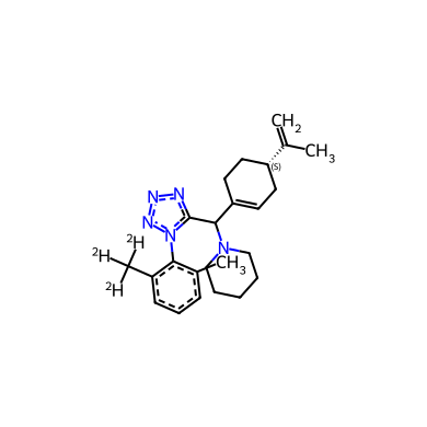 [2H]C([2H])([2H])c1cccc(C)c1-n1nnnc1C(C1=CC[C@@H](C(=C)C)CC1)N1CCCCC1